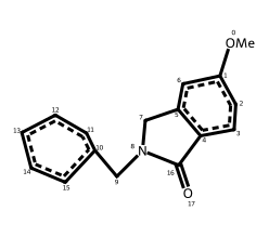 COc1ccc2c(c1)CN(Cc1ccccc1)C2=O